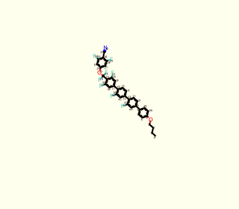 CCCCOc1ccc(-c2ccc(-c3ccc(-c4cc(F)c(C(F)(F)Oc5cc(F)c(C#N)c(F)c5)c(F)c4)c(F)c3)c(F)c2)cc1